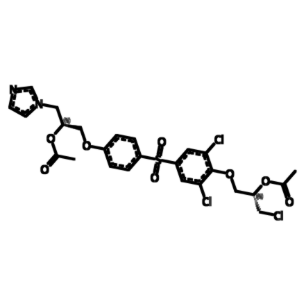 CC(=O)O[C@H](CCl)COc1c(Cl)cc(S(=O)(=O)c2ccc(OC[C@H](Cn3ccnc3)OC(C)=O)cc2)cc1Cl